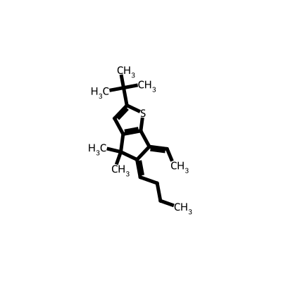 C/C=C1\C(=C/CCC)C(C)(C)c2cc(C(C)(C)C)sc21